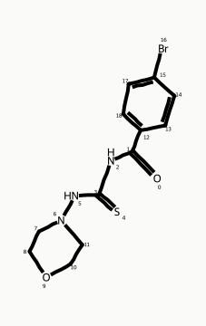 O=C(NC(=S)NN1CCOCC1)c1ccc(Br)cc1